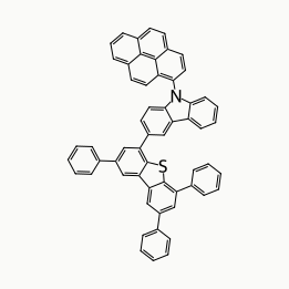 c1ccc(-c2cc(-c3ccccc3)c3sc4c(-c5ccc6c(c5)c5ccccc5n6-c5ccc6ccc7cccc8ccc5c6c78)cc(-c5ccccc5)cc4c3c2)cc1